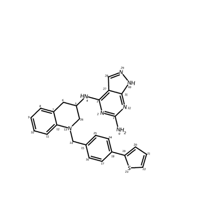 Nc1nc(NC2Cc3ccccc3N(Cc3ccc(-c4cccs4)cc3)C2)c2cn[nH]c2n1